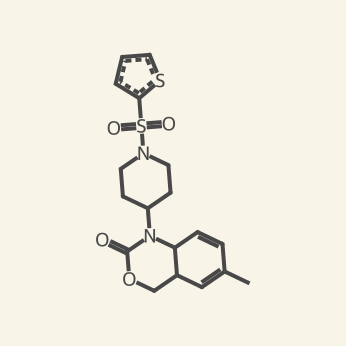 CC1=CC2COC(=O)N(C3CCN(S(=O)(=O)c4cccs4)CC3)C2C=C1